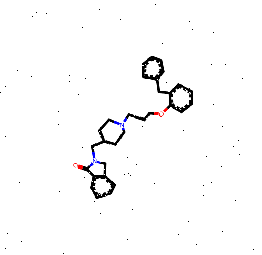 O=C1c2ccccc2CN1CC1CCN(CCCOc2ccccc2Cc2ccccc2)CC1